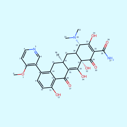 COc1ccncc1-c1ccc(O)c2c1C[C@H]1CC3[C@H](N(C)C)C(O)=C(C(N)=O)C(=O)[C@@]3(O)C(O)=C1C2=O